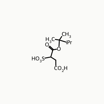 CC(C)C(C)(C)OC(=O)C(CC(=O)O)S(=O)(=O)O